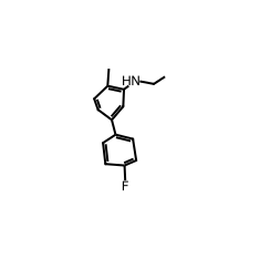 CCNc1cc(-c2ccc(F)cc2)ccc1C